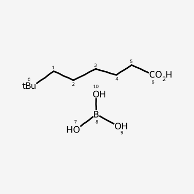 CC(C)(C)CCCCCC(=O)O.OB(O)O